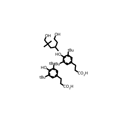 CC(C)(C)c1cc(CCC(=O)O)cc(C(C)(C)C)c1O.CC(C)(C)c1cc(CCC(=O)O)cc(C(C)(C)C)c1O.CC(CCO)CC(C)(C)CO